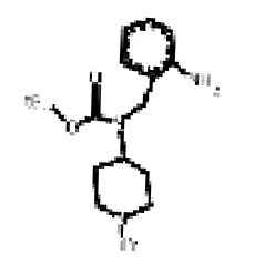 CC(C)N1CCC(N(Cc2ccccc2N)C(=O)OC(C)(C)C)CC1